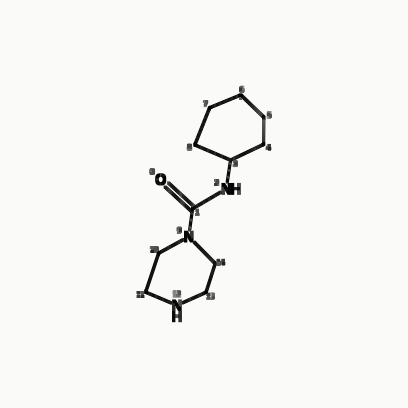 O=C(NC1CC[CH]CC1)N1CCNCC1